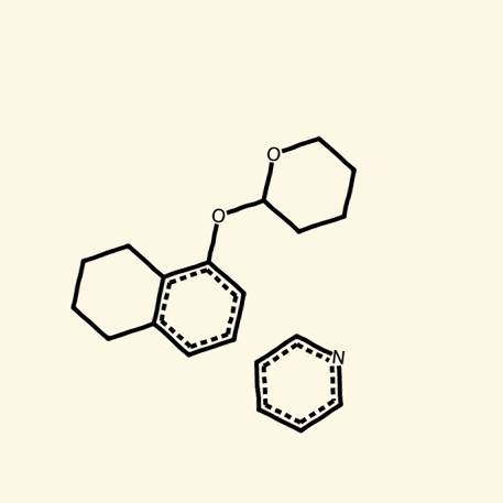 c1cc2c(c(OC3CCCCO3)c1)CCCC2.c1ccncc1